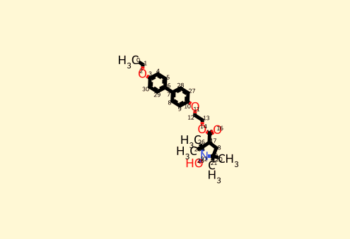 CCOc1ccc(-c2ccc(OCCOC(=O)C3CC(C)(C)N(O)C3(C)C)cc2)cc1